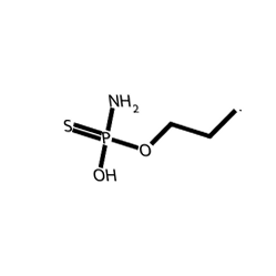 [CH2]CCOP(N)(O)=S